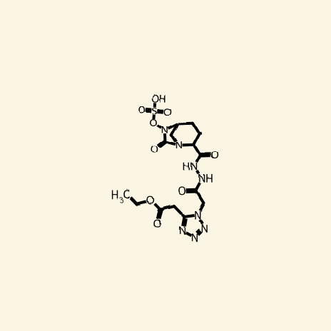 CCOC(=O)Cc1nnnn1CC(=O)NNC(=O)C1CCC2CN1C(=O)N2OS(=O)(=O)O